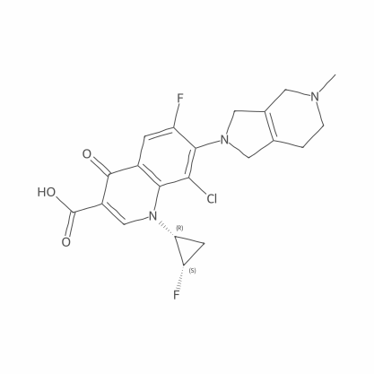 CN1CCC2=C(C1)CN(c1c(F)cc3c(=O)c(C(=O)O)cn([C@@H]4C[C@@H]4F)c3c1Cl)C2